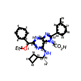 CCOC(c1ccccc1)c1nc(N[C@H](C)C2CCC2)c2c(n1)nc(-c1cccc(C)c1)n2C(=O)O